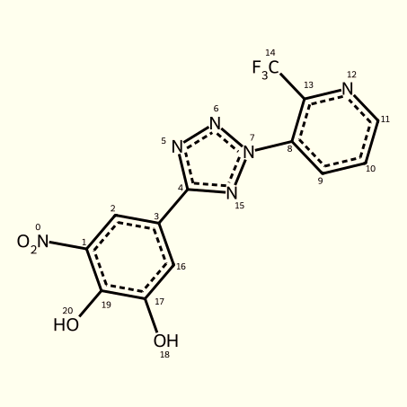 O=[N+]([O-])c1cc(-c2nnn(-c3cccnc3C(F)(F)F)n2)cc(O)c1O